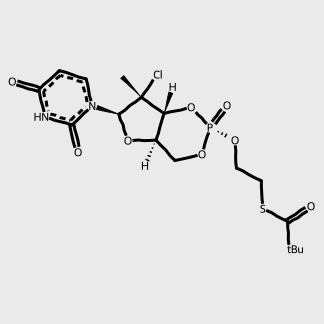 CC(C)(C)C(=O)SCCO[P@]1(=O)OC[C@H]2O[C@@H](n3ccc(=O)[nH]c3=O)[C@](C)(Cl)[C@@H]2O1